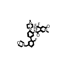 CN1CCN(c2ccc(-c3cc(CN4CCOCC4)ccc3F)cc2NC(=O)c2cn(C)c(=O)cc2C(F)(F)F)CC1